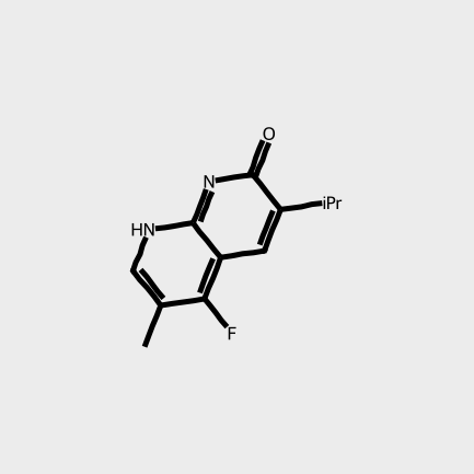 Cc1c[nH]c2nc(=O)c(C(C)C)cc-2c1F